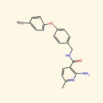 CSc1ccc(Oc2ccc(CNC(=O)c3ccc(C)nc3N)cc2)cc1